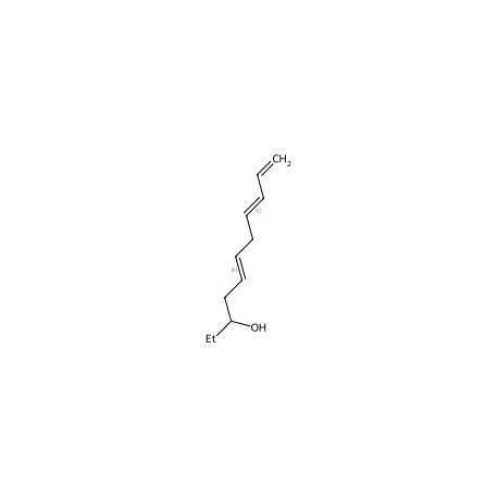 C=C/C=C/C/C=C/CC(O)CC